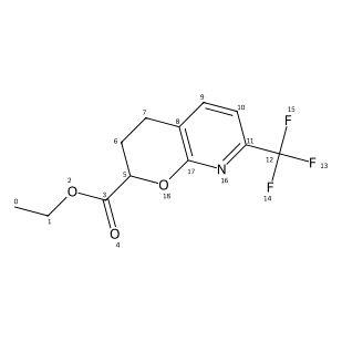 CCOC(=O)C1CCc2ccc(C(F)(F)F)nc2O1